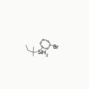 CCC(C)(C)[SiH2]c1cccc(Br)c1